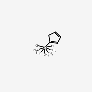 [CH3][Ir]([CH3])([CH3])([CH3])([CH3])([Cl])([Cl])[C]1=CC=CC1